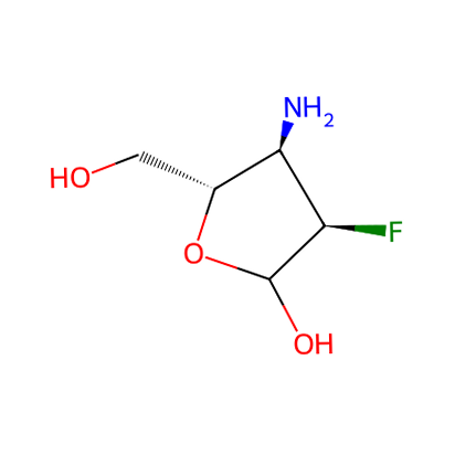 N[C@@H]1[C@@H](CO)OC(O)[C@@H]1F